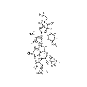 CCOC(=O)C(Cc1ccc(N)cc1)(OC[C@H]1O[C@@H](n2cnc3c(N(C(=O)OC(C)(C)C)C(=O)OC(C)(C)C)nc(Cl)nc32)[C@@H](F)[C@@H]1C)C(C)=O